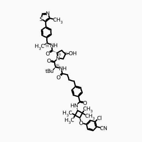 Cc1ncsc1-c1ccc([C@H](C)NC(=O)[C@@H]2C[C@@H](O)CN2C(=O)[C@@H](NC(=O)CCCc2ccc(C(=O)N[C@H]3C(C)(C)[C@H](Oc4ccc(C#N)c(Cl)c4)C3(C)C)cc2)C(C)(C)C)cc1